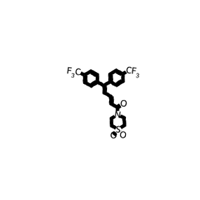 O=C(C=CC=C(c1ccc(C(F)(F)F)cc1)c1ccc(C(F)(F)F)cc1)N1CCS(=O)(=O)CC1